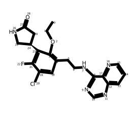 CCOc1c(CCNc2ncnc3cccnc23)cc(Cl)c(F)c1[C@H]1CNC(=O)C1